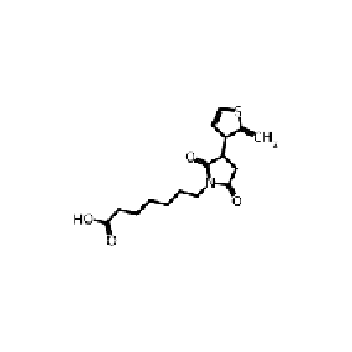 C=C1SC=CC1C1CC(=O)N(CCCCCCC(=O)O)C1=O